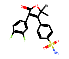 CCC1(C)OC(=O)C(c2ccc(F)c(F)c2)=C1c1ccc(S(N)(=O)=O)cc1